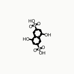 O=S(=O)(O)c1cc(O)c2cc(S(=O)(=O)O)cc(O)c2c1